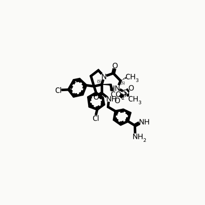 C[C@H](NS(C)(=O)=O)C(=O)N1CCC(c2ccc(Cl)cc2)(c2ccc(Cl)cc2)[C@@]1(CC(=O)O)C(=O)NCc1ccc(C(=N)N)cc1